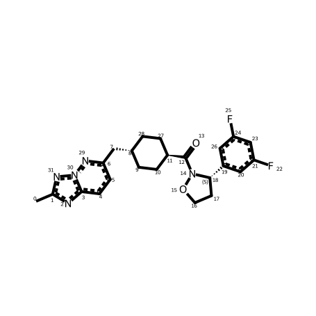 Cc1nc2ccc(C[C@H]3CC[C@H](C(=O)N4OCC[C@H]4c4cc(F)cc(F)c4)CC3)nn2n1